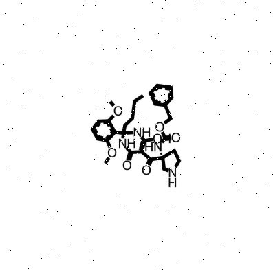 CCCCC1(c2c(OC)cccc2OC)NC(=O)C(C(=O)[C@@]2(NC(=O)OCc3ccccc3)CCNC2)=C(O)N1